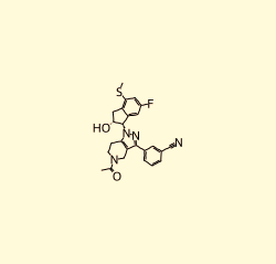 CSc1cc(F)cc2c1C[C@@H](O)[C@@H]2n1nc(-c2cccc(C#N)c2)c2c1CCN(C(C)=O)C2